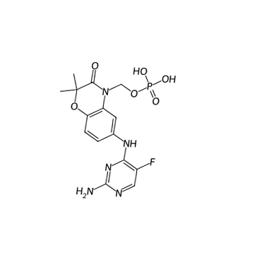 CC1(C)Oc2ccc(Nc3nc(N)ncc3F)cc2N(COP(=O)(O)O)C1=O